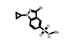 CCC(C)NS(=O)(=O)c1ccc2c(c1)c(Br)nn2C1CC1